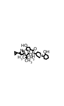 CC(C)(C)C(C(=O)N1CC(O)CC1C(=O)NC1CCN(C2CCCCC2O)CC1)n1cc(C2CC2)nn1